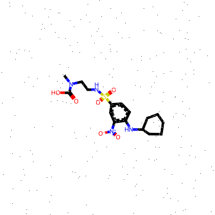 CN(CCNS(=O)(=O)c1ccc(NC2CCCCC2)c([N+](=O)[O-])c1)C(=O)O